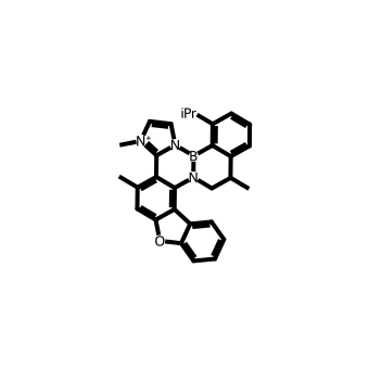 Cc1cc2oc3ccccc3c2c2c1-c1n(cc[n+]1C)B1c3c(C(C)C)cccc3C(C)CN12